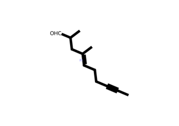 CC#CCC/C=C(\C)CC(C)C=O